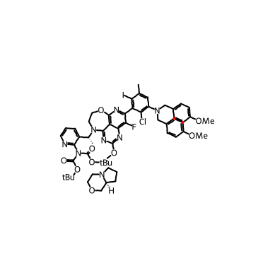 COc1ccc(CN(Cc2ccc(OC)cc2)c2cc(C)c(I)c(-c3nc4c5c(nc(OC[C@@H]6CC[C@H]7COCCN76)nc5c3F)N([C@H](C)c3cccnc3N(C(=O)OC(C)(C)C)C(=O)OC(C)(C)C)CCO4)c2Cl)cc1